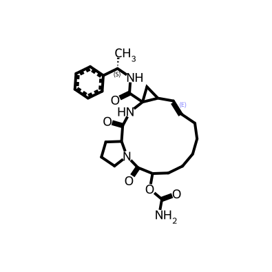 C[C@H](NC(=O)C12CC1/C=C/CCCCCC(OC(N)=O)C(=O)N1CCCC1C(=O)N2)c1ccccc1